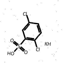 O=S(=O)(O)c1cc(Cl)ccc1Cl.[KH]